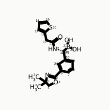 CC1(C)COC(c2cccc([C@H](NC(=O)Cc3cccs3)B(O)O)c2)=N1